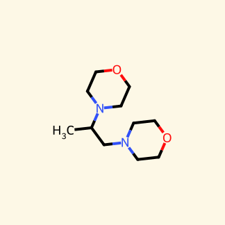 CC(CN1CCOCC1)N1CCOCC1